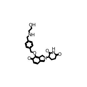 O=C1CCC(N2C=C3C=CC(=O)C(OCc4ccc(CNCCO)cc4)=C3C2)C(=O)N1